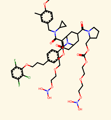 COc1ccc(CN(C(=O)C2=C(c3ccc(CCCOc4c(F)ccc(F)c4Cl)cc3)CC3CC(C(=O)N4CCCC4COC(=O)OCCOCCON(O)O)CC2N3C(=O)OCCOCCON(O)O)C2CC2)cc1C